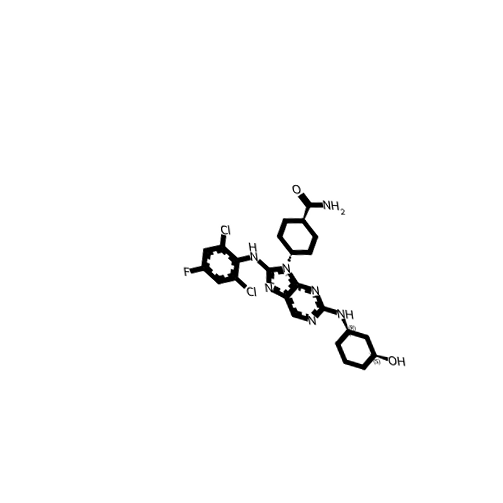 NC(=O)[C@H]1CC[C@H](n2c(Nc3c(Cl)cc(F)cc3Cl)nc3cnc(N[C@@H]4CCC[C@H](O)C4)nc32)CC1